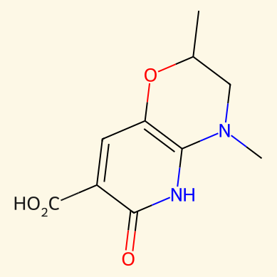 CC1CN(C)c2[nH]c(=O)c(C(=O)O)cc2O1